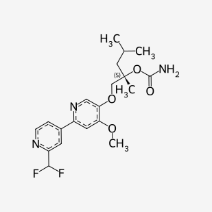 COc1cc(-c2ccnc(C(F)F)c2)ncc1OC[C@](C)(CC(C)C)OC(N)=O